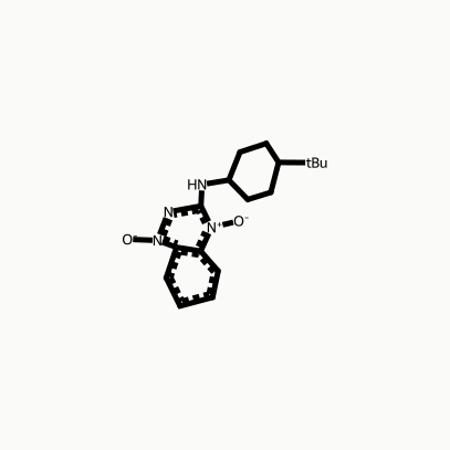 CC(C)(C)C1CCC(Nc2n[n+]([O-])c3ccccc3[n+]2[O-])CC1